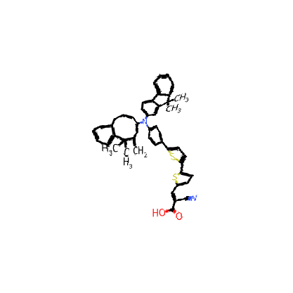 C=C1/C=C(N(c2ccc(-c3ccc(-c4ccc(/C=C(\C#N)C(=O)O)s4)s3)cc2)c2ccc3c(c2)C(C)(C)c2ccccc2-3)\C=C/Cc2ccccc2C1(C)C